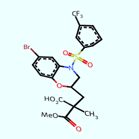 COC(=O)C(C)(CC1CN(S(=O)(=O)c2cccc(C(F)(F)F)c2)c2cc(Br)ccc2O1)C(=O)O